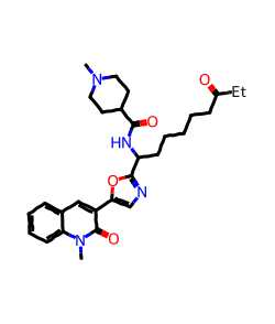 CCC(=O)CCCCCC(NC(=O)C1CCN(C)CC1)c1ncc(-c2cc3ccccc3n(C)c2=O)o1